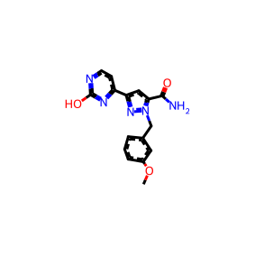 COc1cccc(Cn2nc(-c3ccnc(O)n3)cc2C(N)=O)c1